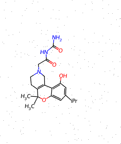 CC(C)c1cc(O)c2c(c1)OC(C)(C)C1=C2CN(CC(=O)NC(N)=O)CC1